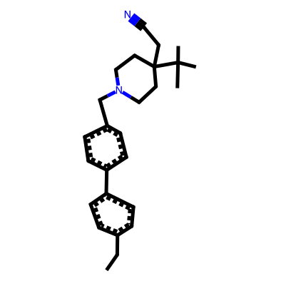 CCc1ccc(-c2ccc(CN3CCC(CC#N)(C(C)(C)C)CC3)cc2)cc1